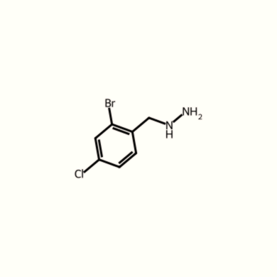 NNCc1ccc(Cl)cc1Br